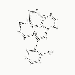 Oc1ccccc1-c1cc2cccc3ccc4cccc1c4c32